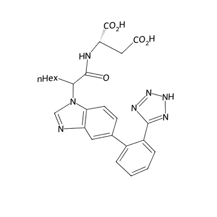 CCCCCCC(C(=O)N[C@@H](CC(=O)O)C(=O)O)n1cnc2cc(-c3ccccc3-c3nn[nH]n3)ccc21